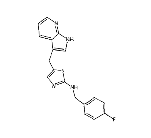 Fc1ccc(CNc2ncc(Cc3c[nH]c4ncccc34)s2)cc1